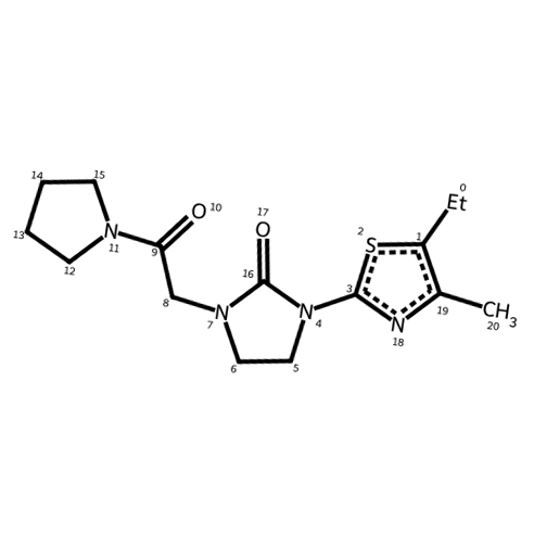 CCc1sc(N2CCN(CC(=O)N3CCCC3)C2=O)nc1C